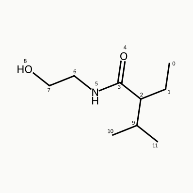 CCC(C(=O)NCCO)C(C)C